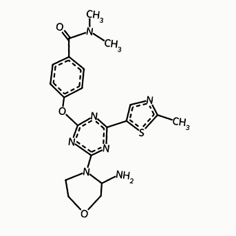 Cc1ncc(-c2nc(Oc3ccc(C(=O)N(C)C)cc3)nc(N3CCOCC3N)n2)s1